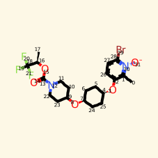 Cc1c(O[C@H]2CC[C@H](OC3CCN(C(=O)O[C@H](C)C(F)(F)F)CC3)CC2)ccc(Br)[n+]1[O-]